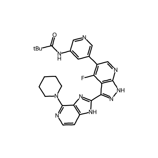 CC(C)(C)C(=O)Nc1cncc(-c2cnc3[nH]nc(-c4nc5c(N6CCCCC6)nccc5[nH]4)c3c2F)c1